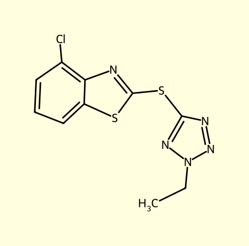 CCn1nnc(Sc2nc3c(Cl)cccc3s2)n1